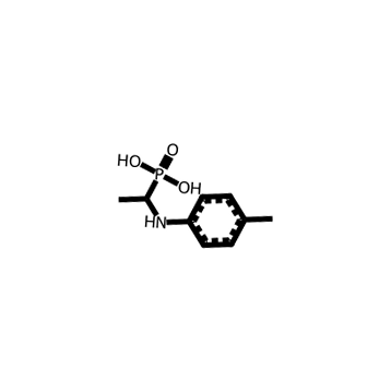 Cc1ccc(NC(C)P(=O)(O)O)cc1